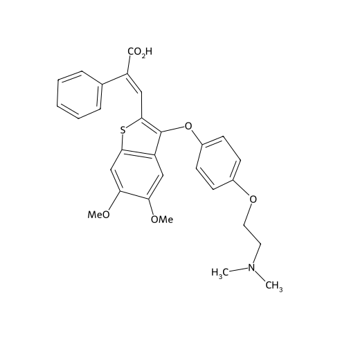 COc1cc2sc(C=C(C(=O)O)c3ccccc3)c(Oc3ccc(OCCN(C)C)cc3)c2cc1OC